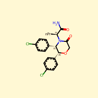 CCC[C@@H](C(N)=O)N1C(=O)CO[C@H](c2ccc(Cl)cc2)[C@@H]1c1ccc(Cl)cc1